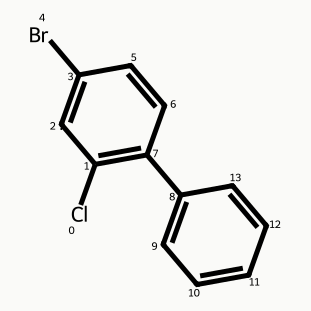 Clc1[c]c(Br)ccc1-c1ccccc1